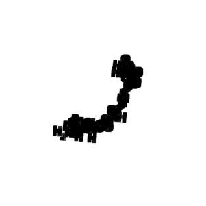 NC(=O)c1c(F)cccc1Nc1nc(NC2CCN(S(=O)(=O)CCNC(=O)CCCN3CCN(CCOc4cccc5c4C(=O)N(C4CCC(=O)NC4O)C5=O)CC3)CC2)ncc1Br